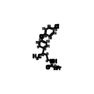 CCCC(=O)NCCC(C)c1ccc(Oc2ccc(Cl)cc2)cc1